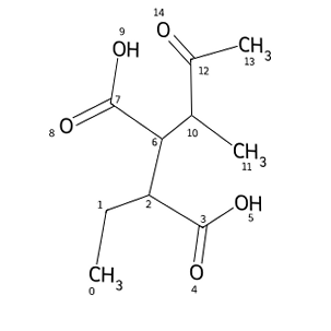 CCC(C(=O)O)C(C(=O)O)C(C)C(C)=O